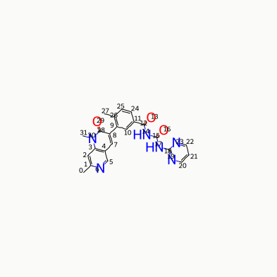 Cc1cc2c(cn1)cc(-c1cc(C(=O)NC(=O)Nc3ncccn3)ccc1C)c(=O)n2C